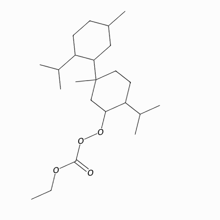 CCOC(=O)OOC1CC(C)(C2CC(C)CCC2C(C)C)CCC1C(C)C